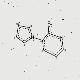 CCc1ncccc1-n1cccc1